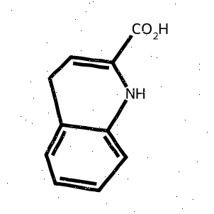 O=C(O)C1=CCc2ccccc2N1